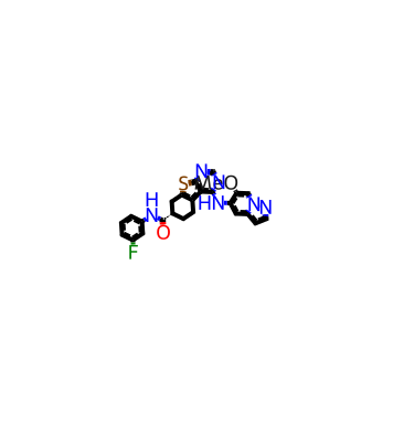 COc1cn2nccc2cc1Nc1ncnc2sc3c(c12)CC[C@H](C(=O)Nc1cccc(F)c1)C3